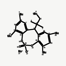 CC(C)(C)CC(C)(C)C1c2cc(C(C)(C)C)cc(C(C)(C)C)c2OP(=O)([O-])Oc2c1cc(C(C)(C)C)cc2C(C)(C)C.[Na+]